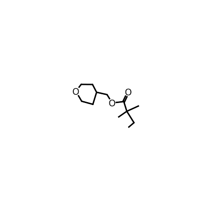 CCC(C)(C)C(=O)OCC1CCOCC1